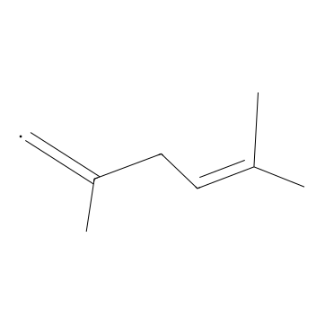 [CH]=C(C)CC=C(C)C